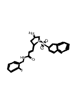 O=C(CCC1CC(S)CN1S(=O)(=O)c1ccc2ccccc2c1)NCc1ccccc1F